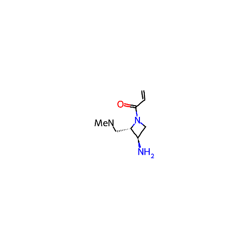 C=CC(=O)N1C[C@@H](N)[C@@H]1CNC